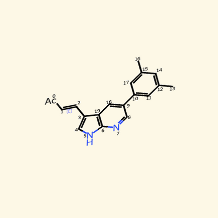 CC(=O)/C=C/c1c[nH]c2ncc(-c3cc(C)cc(C)c3)cc12